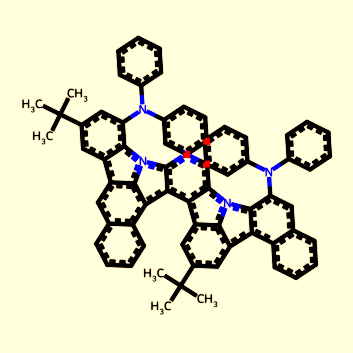 CC(C)(C)c1cc(N(c2ccccc2)c2ccccc2)c2c(c1)c1cc3ccccc3c3c4c5c6cc(C(C)(C)C)cc7c8c9ccccc9cc(N(c9ccccc9)c9ccccc9)c8n(c5cnc4n2c13)c67